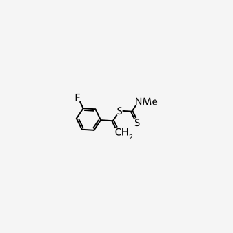 C=C(SC(=S)NC)c1cccc(F)c1